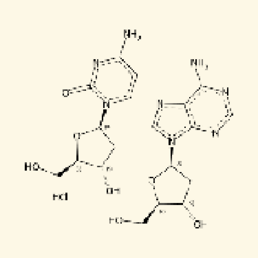 Cl.Nc1ccn([C@H]2C[C@H](O)[C@@H](CO)O2)c(=O)n1.Nc1ncnc2c1ncn2[C@H]1C[C@H](O)[C@@H](CO)O1